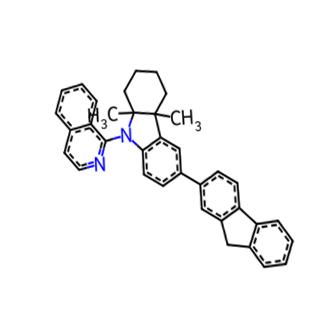 CC12CCCCC1(C)N(c1nccc3ccccc13)c1ccc(-c3ccc4c(c3)Cc3ccccc3-4)cc12